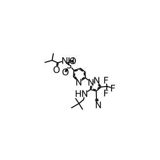 CC(C)C(=O)NS(=O)(=O)c1ccc(-n2nc(C(F)(F)F)c(C#N)c2NCC(C)(C)C)nc1